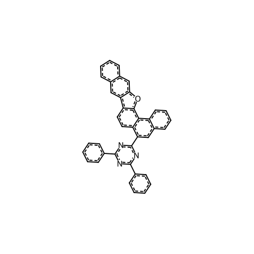 c1ccc(-c2nc(-c3ccccc3)nc(-c3cc4ccccc4c4c3ccc3c5cc6ccccc6cc5oc34)n2)cc1